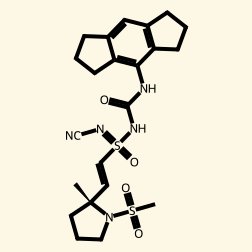 C[C@]1(/C=C/S(=O)(=NC#N)NC(=O)Nc2c3c(cc4c2CCC4)CCC3)CCCN1S(C)(=O)=O